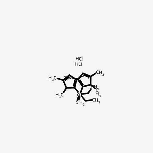 C[CH2][Zr](=[SiH2])([CH2]C)([C]1=C(C)C=C(C)C1C)[C]1=C(C)C=C(C)C1C.Cl.Cl